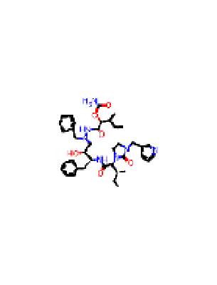 CCC(C)C(OC(N)=O)C(=O)NN(Cc1ccccc1)C[C@H](O)[C@H](Cc1ccccc1)NC(=O)[C@H]([C@@H](C)CC)N1CCN(Cc2cccnc2)C1=O